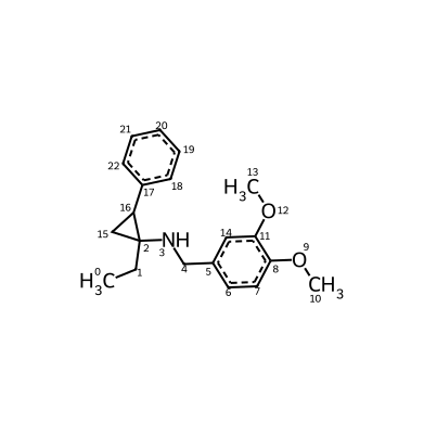 CCC1(NCc2ccc(OC)c(OC)c2)CC1c1ccccc1